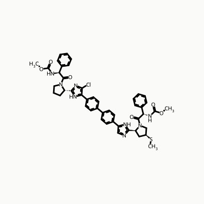 COC(=O)N[C@H](C(=O)N1C[C@@H](SC)C[C@H]1c1ncc(-c2ccc(-c3ccc(-c4[nH]c([C@@H]5CCCN5C(=O)[C@@H](NC(=O)OC)c5ccccc5)nc4Cl)cc3)cc2)[nH]1)c1ccccc1